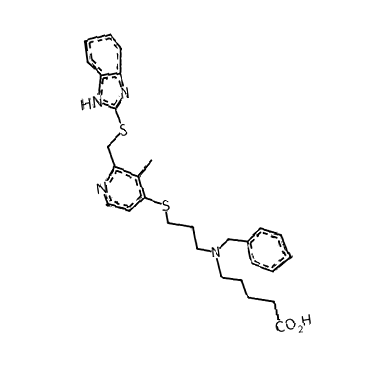 Cc1c(SCCCN(CCCCC(=O)O)Cc2ccccc2)ccnc1CSc1nc2ccccc2[nH]1